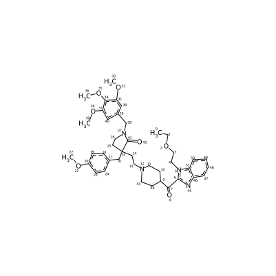 CCOCCn1c(C(=O)C2CCN(CCC3(Cc4ccc(OC)cc4)CCN(Cc4cc(OC)c(OC)c(OC)c4)C3=O)CC2)nc2ccccc21